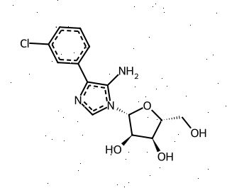 Nc1c(-c2cc[c]c(Cl)c2)ncn1[C@@H]1O[C@H](CO)[C@@H](O)[C@H]1O